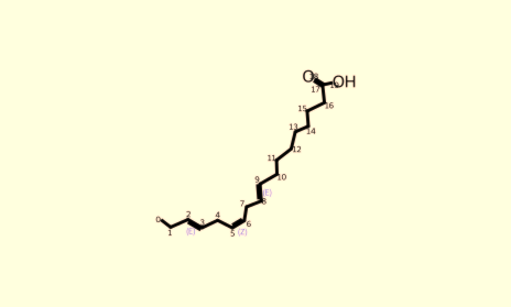 CC/C=C/C/C=C\C/C=C/CCCCCCCC(=O)O